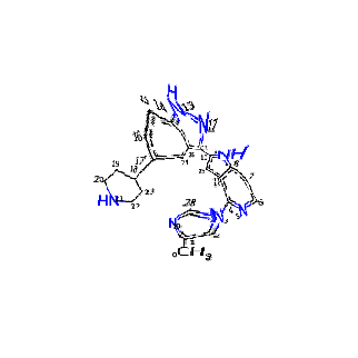 Cc1cn(-c2nccc3[nH]c(-c4n[nH]c5ccc(C6CCNCC6)cc45)cc23)cn1